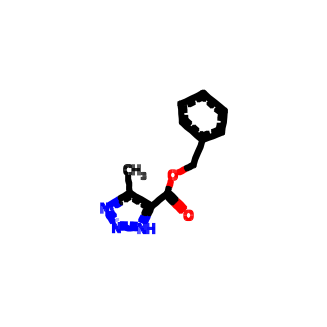 Cc1nn[nH]c1C(=O)OCc1ccccc1